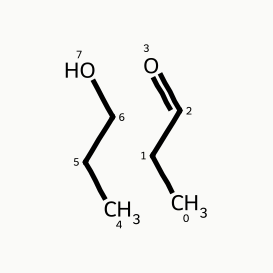 CCC=O.CCCO